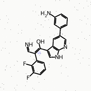 N=C/C(=C(\O)c1c[nH]c2ncc(-c3cccc(N)c3)cc12)c1cccc(F)c1F